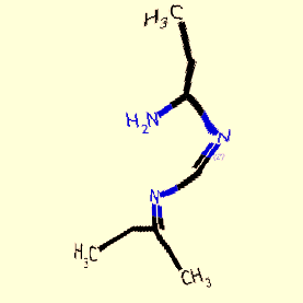 CCC(N)/N=C\N=C(C)C